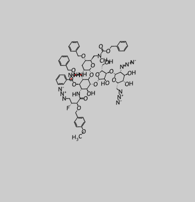 COc1ccc(CO[C@H](C(=O)N[C@H]2[C@H](O)[C@@H](O[C@@H]3O[C@H](CO)[C@@H](O[C@H]4O[C@@H](CN=[N+]=[N-])[C@@H](O)[C@H](O)[C@H]4N=[N+]=[N-])[C@H]3O)[C@H](O[C@H]3O[C@H](CN(C)C(=O)OCc4ccccc4)[C@@H](OCc4ccccc4)C[C@H]3N=[N+]=[N-])[C@@H](NC(=O)OCc3ccccc3)[C@@H]2OCc2ccccc2)[C@H](F)CN=[N+]=[N-])cc1